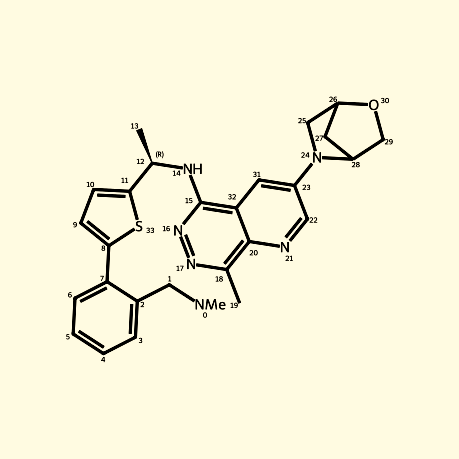 CNCc1ccccc1-c1ccc([C@@H](C)Nc2nnc(C)c3ncc(N4CC5CC4CO5)cc23)s1